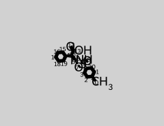 Cc1ccc(S(=O)(=O)N/N=C(\C(=O)O)c2ccccc2)cc1